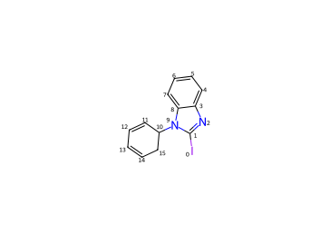 Ic1nc2ccccc2n1C1C=CC=CC1